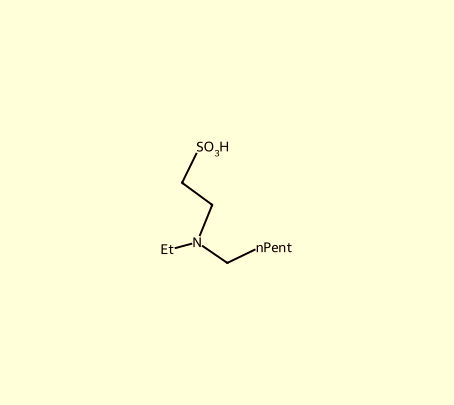 CCCCCCN(CC)CCS(=O)(=O)O